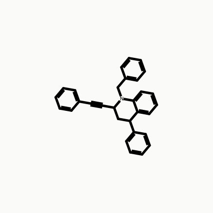 C(#CC1CC(c2ccccc2)c2ccccc2N1Cc1ccccc1)c1ccccc1